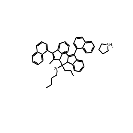 C1CC[SiH2]C1.CCC[CH2][Zr][C](CCC)(C1C(C)=C(c2cccc3ccccc23)c2ccccc21)C1C(C)=C(c2cccc3ccccc23)c2ccccc21